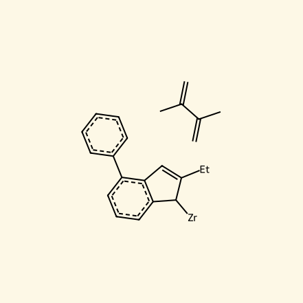 C=C(C)C(=C)C.CCC1=Cc2c(-c3ccccc3)cccc2[CH]1[Zr]